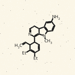 C=CC1C(CC)=C(CC)C=CC1C1=C2C(CC=N1)c1cc(N)ccc1N2C